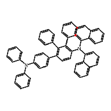 c1ccc(-c2c(-c3ccc(N(c4ccccc4)c4ccccc4)cc3)ccc(N(c3cccc4ccccc34)c3cccc4ccccc34)c2-c2ccccc2)cc1